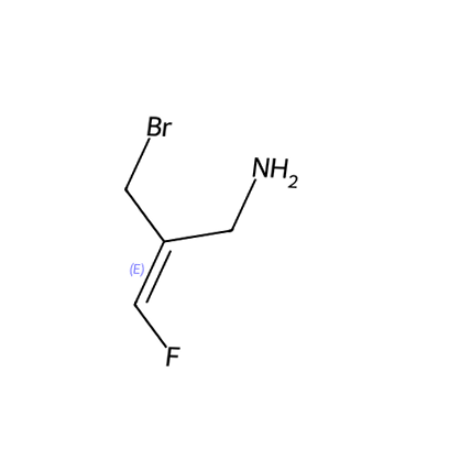 NC/C(=C\F)CBr